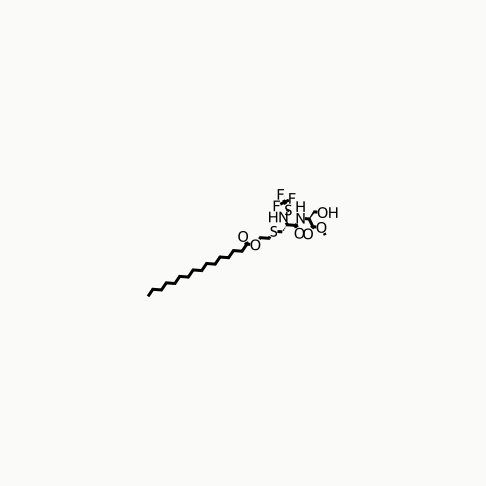 CCCCCCCCCCCCCCCC(=O)OCCSC[C@H](NSC(F)(F)F)C(=O)N[C@@H](CO)C(=O)OC